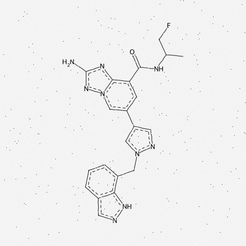 CC(CF)NC(=O)c1cc(-c2cnn(Cc3cccc4cn[nH]c34)c2)cn2nc(N)nc12